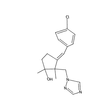 CC1(O)CC/C(=C\c2ccc(Cl)cc2)C1(C)Cn1cncn1